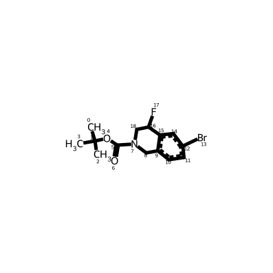 CC(C)(C)OC(=O)N1Cc2ccc(Br)cc2C(F)C1